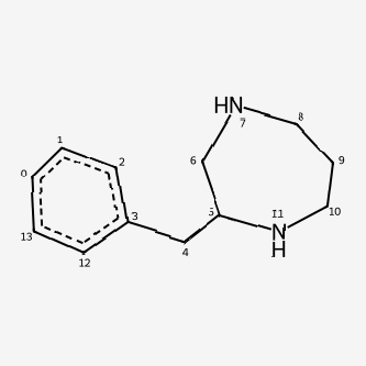 c1ccc(CC2CNCCCN2)cc1